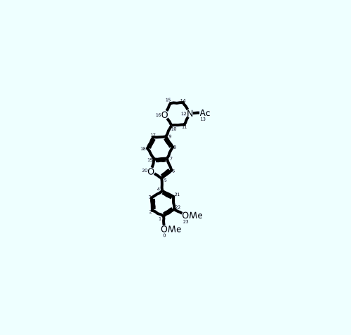 COc1ccc(-c2cc3cc(C4CN(C(C)=O)CCO4)ccc3o2)cc1OC